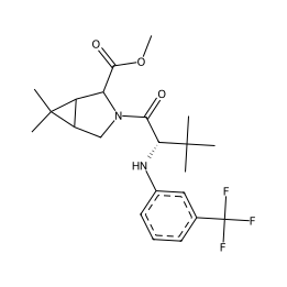 COC(=O)C1C2C(CN1C(=O)[C@@H](Nc1cccc(C(F)(F)F)c1)C(C)(C)C)C2(C)C